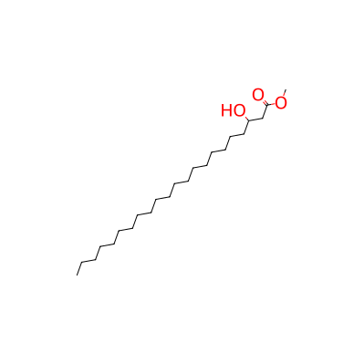 CCCCCCCCCCCCCCCCCCCC(O)CC(=O)OC